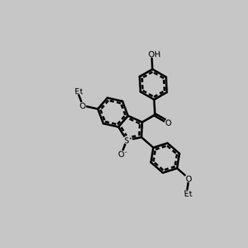 CCOc1ccc(-c2c(C(=O)c3ccc(O)cc3)c3ccc(OCC)cc3[s+]2[O-])cc1